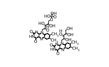 Cc1cc2nc3c(=O)[nH]c(=O)nc-3n(C[C@H](O)[C@H](O)[C@H](O)CO)c2cc1C.Cc1cc2nc3c(=O)[nH]c(=O)nc-3n(C[C@H](O)[C@H](O)[C@H](O)COP(=O)(O)O)c2cc1C